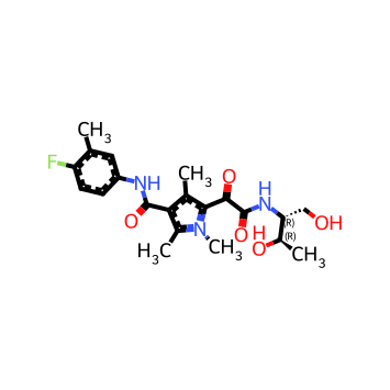 Cc1cc(NC(=O)c2c(C)c(C(=O)C(=O)N[C@H](CO)[C@@H](C)O)n(C)c2C)ccc1F